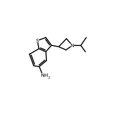 CC(C)N1CC(c2csc3ccc(N)cc23)C1